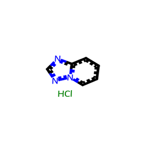 Cl.c1ccn2ncnc2c1